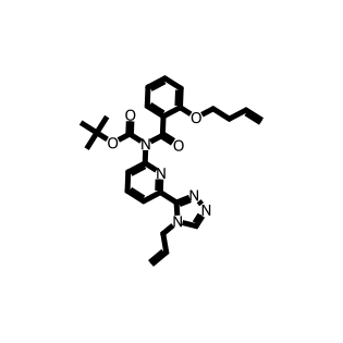 C=CCCOc1ccccc1C(=O)N(C(=O)OC(C)(C)C)c1cccc(-c2nncn2CC=C)n1